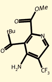 COC(=O)c1ncc(C(F)(F)F)c(N)c1C(=O)C(C)(C)C